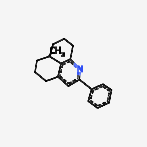 CC12CCCc3cc(-c4ccccc4)nc(c31)CCC2